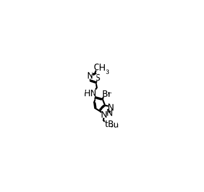 Cc1ncc(CNc2ccc3c(nnn3CC(C)(C)C)c2Br)s1